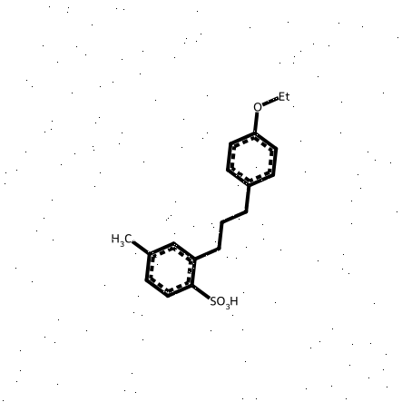 CCOc1ccc(CCCc2cc(C)ccc2S(=O)(=O)O)cc1